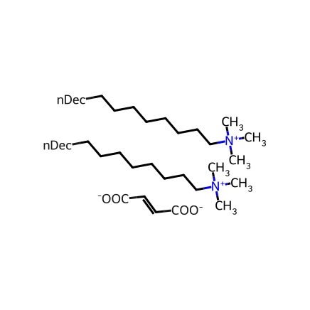 CCCCCCCCCCCCCCCCCC[N+](C)(C)C.CCCCCCCCCCCCCCCCCC[N+](C)(C)C.O=C([O-])C=CC(=O)[O-]